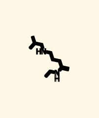 C=C(CCCNCC(C)C)NCC